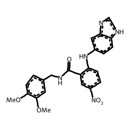 COc1ccc(CNC(=O)c2cc([N+](=O)[O-])ccc2Nc2ccc3[nH]cnc3c2)cc1OC